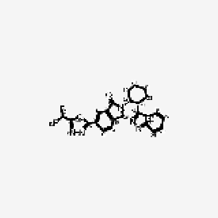 O=C1c2cc(-c3nnc(C(F)F)o3)ccc2CN1[C@@H]1CCCC[C@H]1c1nnc2ccccn12